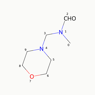 CN(C=O)CN1CCOCC1